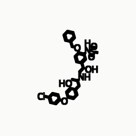 CS(=O)(=O)Nc1cc([C@@H](O)CNC(CO)Cc2ccc(Oc3ccc(Cl)cc3)cc2)ccc1OCc1ccccc1